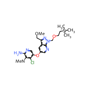 CNc1c(N)ncc(Oc2cnc3c(c2)c(COC)nn3COCC[Si](C)(C)C)c1Cl